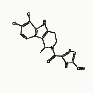 COc1cnc(C(=O)N2CCc3[nH]c4c(Cl)c(Cl)ccc4c3C2C)[nH]1